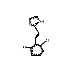 Clc1cccc(Cl)c1C=Cc1ncc[nH]1